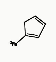 [1Fe][C]1=CC=CC1